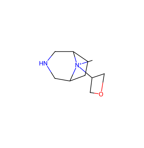 C[N+]1(C2COC2)C2CCC1CNC2